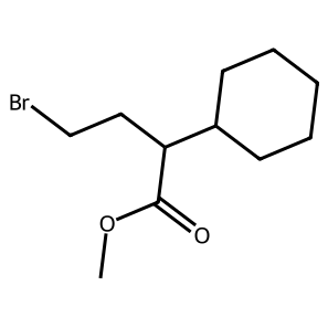 COC(=O)C(CCBr)C1CCCCC1